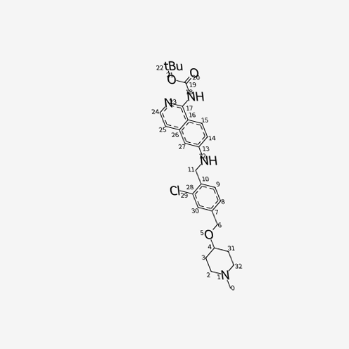 CN1CCC(OCc2ccc(CNc3ccc4c(NC(=O)OC(C)(C)C)nccc4c3)c(Cl)c2)CC1